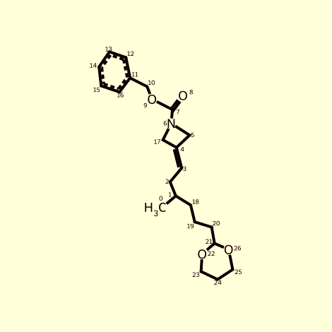 CC(CC=C1CN(C(=O)OCc2ccccc2)C1)CCCC1OCCCO1